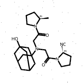 [C-]#[N+][C@@H]1CCCN1C(=O)CN(CC(=O)N1CCC[C@H]1C)C12CC3CC(CC(O)(C3)C1)C2